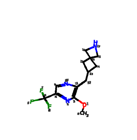 COc1nc(C(F)(F)F)cnc1CC1CC2(CNC2)C1